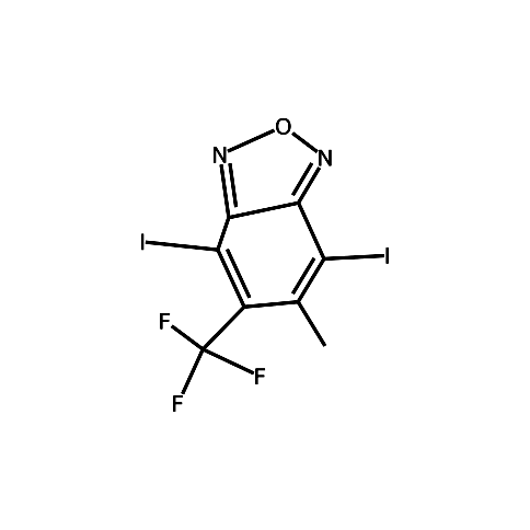 Cc1c(C(F)(F)F)c(I)c2nonc2c1I